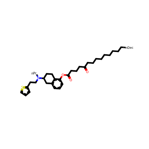 CCCCCCCCCCCCCCCCCCCC(=O)CCCC(=O)Oc1cccc2c1CCC(N(CCC)CCc1cccs1)C2